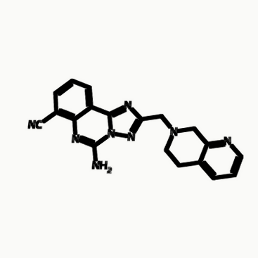 N#Cc1cccc2c1nc(N)n1nc(CN3CCc4cccnc4C3)nc21